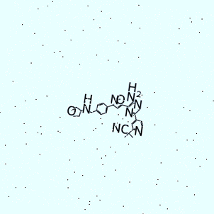 CC(C)(C#N)c1cc(-c2cnc(N)c(-c3cc(-c4ccc(CN[C@H]5CCOC5)cc4)no3)n2)ccn1